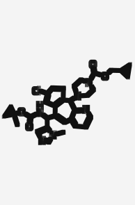 Cn1cncc1C(NC(=O)OC1(C)CC1)C1=Cc2cccnc2C(N2CCN(C(=O)OCC3CC3)CC2)c2ccc(Cl)cc21